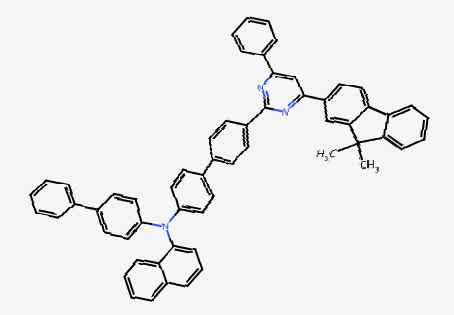 CC1(C)c2ccccc2-c2ccc(-c3cc(-c4ccccc4)nc(-c4ccc(-c5ccc(N(c6ccc(-c7ccccc7)cc6)c6cccc7ccccc67)cc5)cc4)n3)cc21